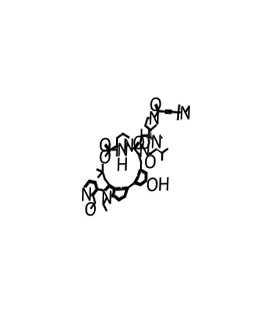 CCn1c(-c2cccnc2COC)c2c3cc(ccc31)-c1cc(O)cc(c1)C[C@H](NC(=O)[C@H](C(C)C)N(C)C(=O)[C@H]1CCN(C(=O)C#CC(C)(C)N(C)C)C1)C(=O)N1CCC[C@H](N1)C(=O)OCC(C)(C)C2